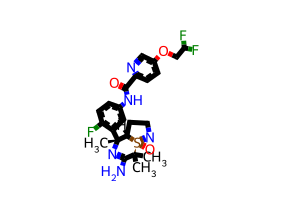 CC1(C)C(N)=N[C@](C)(c2cc(NC(=O)c3ccc(OCC(F)F)cn3)ccc2F)[C@@H]2CCN=[S@@]21=O